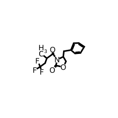 CC(CC(F)(F)F)C(=O)N1C(=O)OCC1Cc1ccccc1